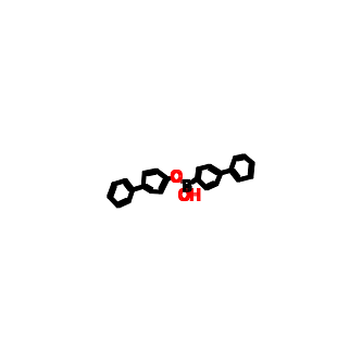 OB(Oc1ccc(-c2ccccc2)cc1)c1ccc(-c2ccccc2)cc1